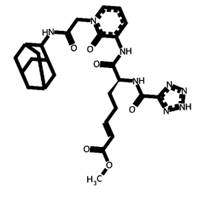 COC(=O)/C=C/CC[C@H](NC(=O)c1nn[nH]n1)C(=O)Nc1cccn(CC(=O)NC2C3CC4CC(C3)CC2C4)c1=O